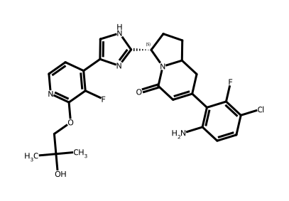 CC(C)(O)COc1nccc(-c2c[nH]c([C@@H]3CCC4CC(c5c(N)ccc(Cl)c5F)=CC(=O)N43)n2)c1F